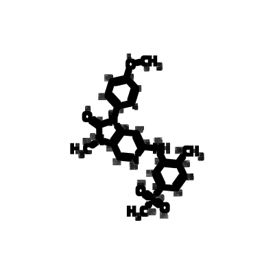 COc1ccc(-n2c(=O)n(C)c3cnc(Nc4cc(S(C)(=O)=O)ccc4C)cc32)cc1